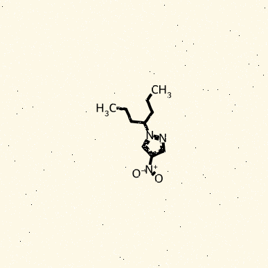 CCCC(CCC)n1cc([N+](=O)[O-])cn1